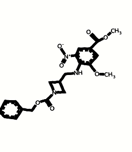 COC(=O)c1cc(OC)c(NCC2CN(C(=O)OCc3ccccc3)C2)c([N+](=O)[O-])c1